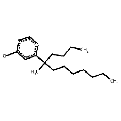 CCCCCCCC(C)(CCCC)c1cc(Cl)ncn1